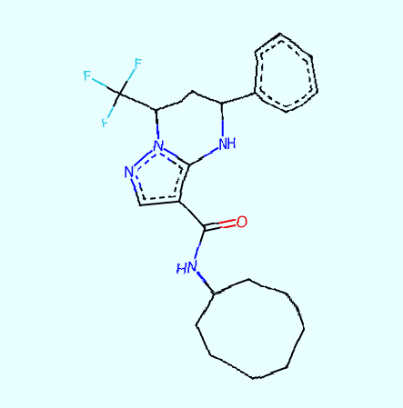 O=C(NC1CCCCCCC1)c1cnn2c1NC(c1ccccc1)CC2C(F)(F)F